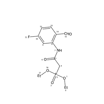 CCOP(=O)(CC(=O)Nc1cc(F)ccc1C=O)OCC